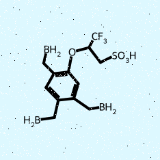 BCc1cc(CB)c(OC(CS(=O)(=O)O)C(F)(F)F)cc1CB